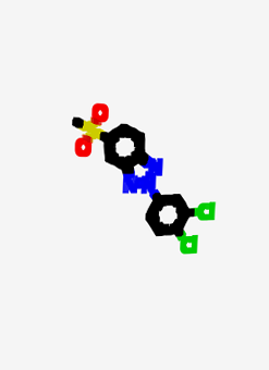 CS(=O)(=O)c1ccc2nn(-c3ccc(Cl)c(Cl)c3)nc2c1